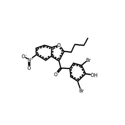 CCCCc1oc2ccc([N+](=O)[O-])cc2c1C(=O)c1cc(Br)c(O)c(Br)c1